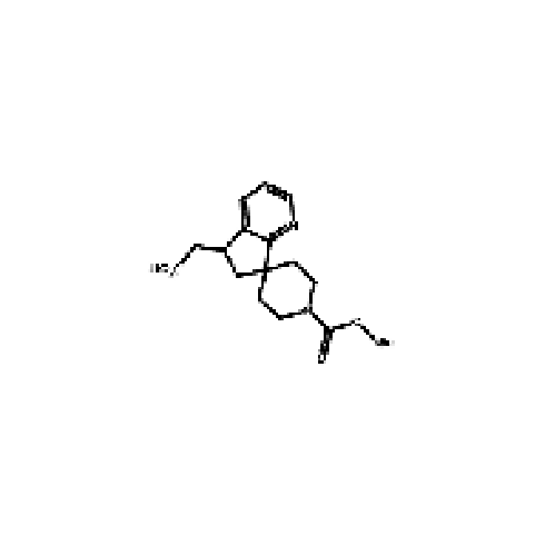 CCOC(=O)CC1CC2(CCN(C(=O)OC(C)(C)C)CC2)c2ncccc21